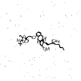 CCCCC[C@H](O)CC[C@@H]1[C@H]2Cc3cccc(OCC(=O)OC(CC)C(=O)NC(C)(C)C)c3C[C@H]2C[C@H]1O